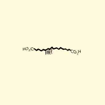 Cl.Cl.O=C(O)CCCCCCCCCCCCCCCCCC(=O)O